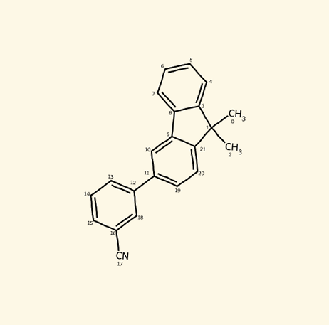 CC1(C)c2ccccc2-c2cc(-c3cccc(C#N)c3)ccc21